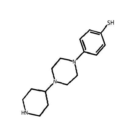 Sc1ccc(N2CCN(C3CCNCC3)CC2)cc1